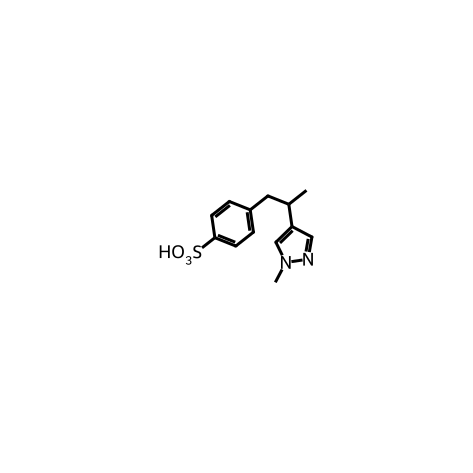 CC(Cc1ccc(S(=O)(=O)O)cc1)c1cnn(C)c1